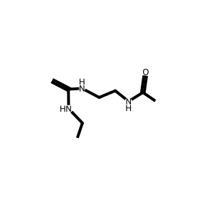 C=C(NCC)NCCNC(C)=O